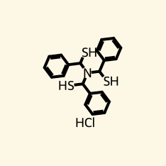 Cl.SC(c1ccccc1)N(C(S)c1ccccc1)C(S)c1ccccc1